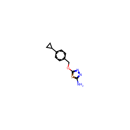 Nc1nnc(OCc2ccc(C3CC3)cc2)s1